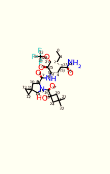 CCC[C@@H](C[C@H](NC(=O)[C@@H]1CC2(CC2)CN1C(=O)C1(O)CC(C)(C)C1)C(=O)COC(F)(F)F)C(N)=O